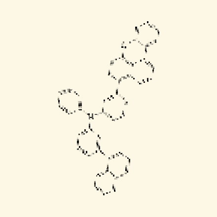 c1ccc(N(c2cccc(-c3cccc4ccccc34)c2)c2cccc(-c3ccc4c5c(cccc35)-c3ccccc3O4)c2)cc1